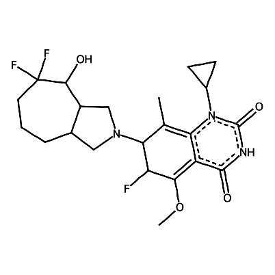 COC1=c2c(=O)[nH]c(=O)n(C3CC3)c2=C(C)C(N2CC3CCCC(F)(F)C(O)C3C2)C1F